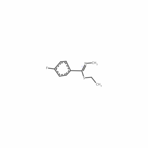 CCS/C(=N\C)c1ccc(F)cc1